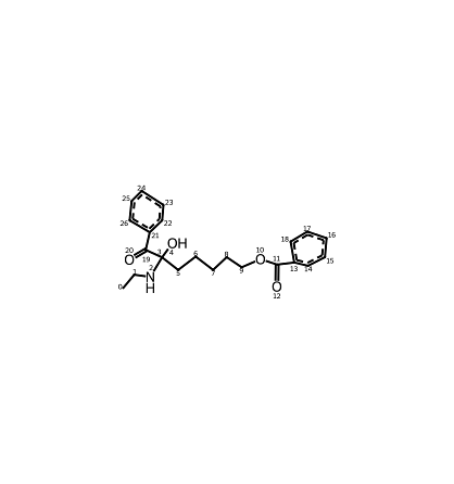 CCNC(O)(CCCCCOC(=O)c1ccccc1)C(=O)c1ccccc1